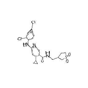 O=C(NCC1CCS(=O)(=O)C1)c1cnc(Nc2ccc(Cl)cc2Cl)cc1C1CC1